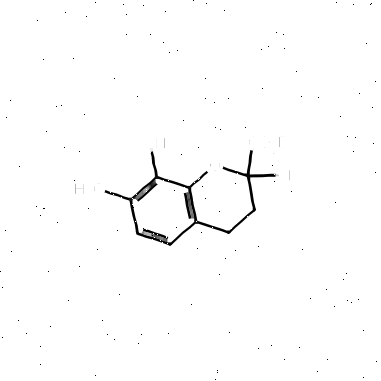 CCOC(=O)C1(C)CCc2ccc(C)c(C)c2O1